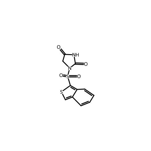 O=C1CN(S(=O)(=O)c2scc3ccccc23)C(=O)N1